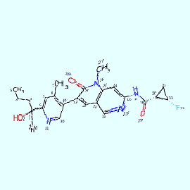 [2H]C(O)(CCC)c1cc(C)c(-c2cc3cnc(NC(=O)[C@@H]4C[C@@H]4F)cc3n(C)c2=O)cn1